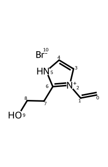 C=C[n+]1cc[nH]c1CCO.[Br-]